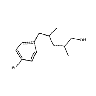 CC(CO)CC(C)Cc1ccc(C(C)C)cc1